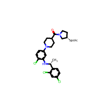 CC(=O)N[C@H]1CCN(C(=O)C2CCN(c3ccc(Cl)c(N[C@H](C)c4ccc(Cl)cc4Cl)c3)CC2)C1